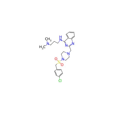 CN(C)CCCNc1nc(CN2CCN(S(=O)(=O)Cc3ccc(Cl)cc3)CC2)nc2ccccc12